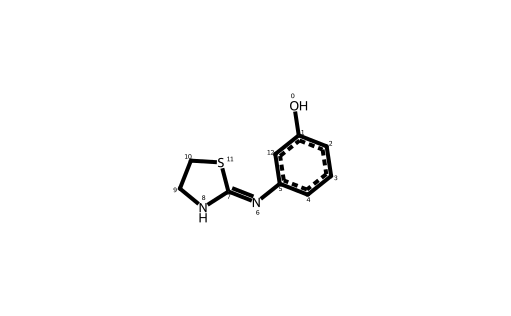 Oc1cccc(N=C2NCCS2)c1